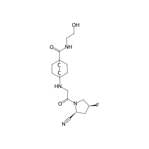 N#C[C@@H]1C[C@H](F)CN1C(=O)CNC12CCC(C(=O)NCCO)(CC1)CC2